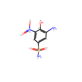 Nc1cc(S(N)(=O)=O)cc([N+](=O)[O-])c1O